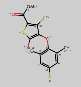 COC(=O)c1sc(Br)c(Oc2c(C)cc(F)cc2C)c1F